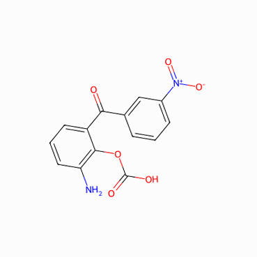 Nc1cccc(C(=O)c2cccc([N+](=O)[O-])c2)c1OC(=O)O